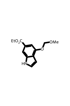 CCOC(=O)c1cc(OCOC)c2cc[nH]c2c1